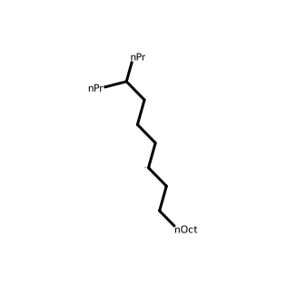 CCCCCCCCCC[CH]CCCC(CCC)CCC